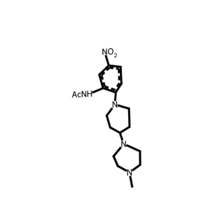 CC(=O)Nc1cc([N+](=O)[O-])ccc1N1CCC(N2CCN(C)CC2)CC1